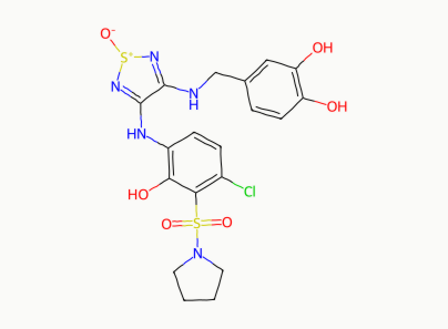 O=S(=O)(c1c(Cl)ccc(Nc2n[s+]([O-])nc2NCc2ccc(O)c(O)c2)c1O)N1CCCC1